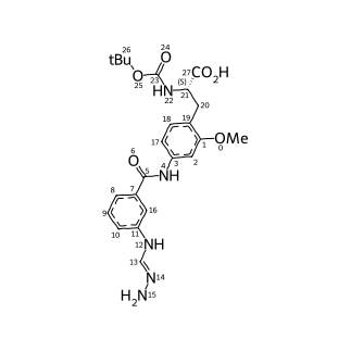 COc1cc(NC(=O)c2cccc(NC=NN)c2)ccc1C[C@H](NC(=O)OC(C)(C)C)C(=O)O